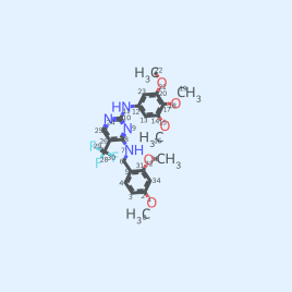 COc1ccc(CNc2nc(Nc3cc(OC)c(OC)c(OC)c3)ncc2C(F)(F)F)c(OC)c1